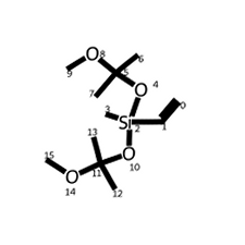 C=C[Si](C)(OC(C)(C)OC)OC(C)(C)OC